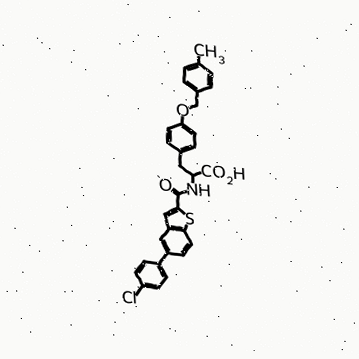 Cc1ccc(COc2ccc(CC(NC(=O)c3cc4cc(-c5ccc(Cl)cc5)ccc4s3)C(=O)O)cc2)cc1